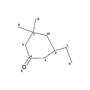 CCC1CC(=O)CC(C)(C)C1